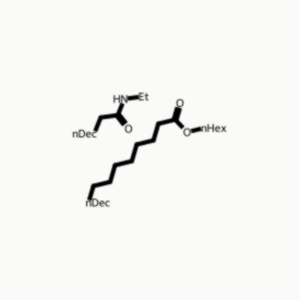 CCCCCCCCCCCC(=O)NCC.CCCCCCCCCCCCCCCCCC(=O)OCCCCCC